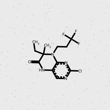 CCC1(C)C(=O)Nc2cnc(Cl)nc2N1CCC(F)(F)F